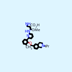 CO/C(Nc1cccc(-c2cccc(C)c2OCc2ccc3c(c2)CCN(C(C)C)C3)n1)=C(/C=N)C(=O)O